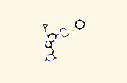 O=C1NC(=O)/C(=C/c2cnn3c(NC4CC4)cc(N4CCN(S(=O)(=O)c5ccc(F)cc5F)CC4)nc23)N1